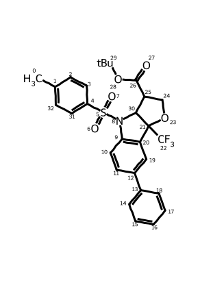 Cc1ccc(S(=O)(=O)N2c3ccc(-c4ccccc4)cc3C3(C(F)(F)F)OCC(C(=O)OC(C)(C)C)C23)cc1